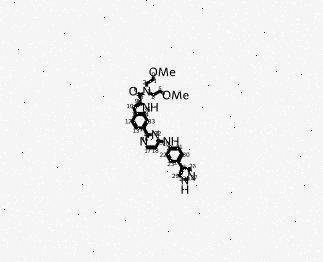 COCCN(CCOC)C(=O)c1cc2ccc(-c3nccc(Nc4ccc(-c5cn[nH]c5)cc4)n3)cc2[nH]1